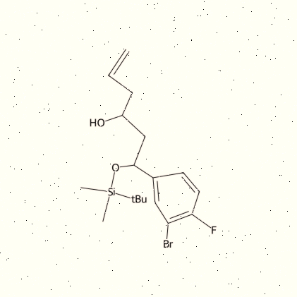 C=CCC(O)CC(O[Si](C)(C)C(C)(C)C)c1ccc(F)c(Br)c1